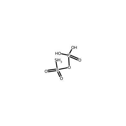 O=P(O)(O)OS(=O)(=O)[SiH3]